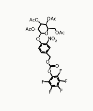 CC(=O)OC[C@H]1O[C@@H](Oc2ccc(COC(=O)Oc3c(F)c(F)c(F)c(F)c3F)cc2[N+](=O)[O-])[C@H](OC(C)=O)[C@@H](OC(C)=O)[C@H]1OC(C)=O